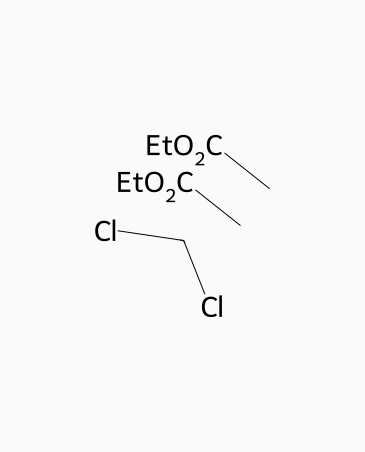 CCOC(C)=O.CCOC(C)=O.ClCCl